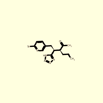 CCC[C@H](C(C)=O)[C@H](Cc1ccc(Br)nc1)c1nnn[nH]1